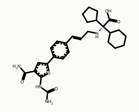 NC(=O)Nc1sc(-c2ccc(C=CCN[C@](C(=O)O)(C3CCCCC3)C3CCCC3)cc2)cc1C(N)=O